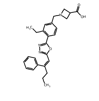 CCCC(=Cc1nnc(-c2ccc(CN3CC(C(=O)O)C3)cc2CC)o1)c1ccccc1